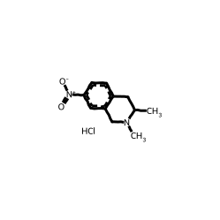 CC1Cc2ccc([N+](=O)[O-])cc2CN1C.Cl